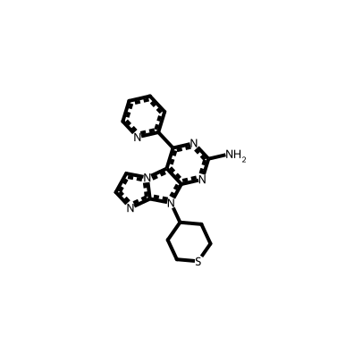 Nc1nc(-c2ccccn2)c2c(n1)n(C1CCSCC1)c1nccn21